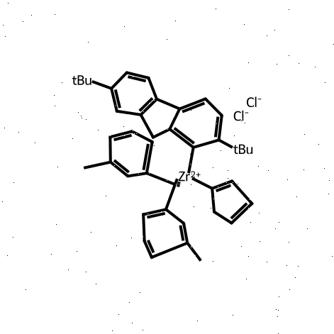 Cc1cccc([C](c2cccc(C)c2)=[Zr+2]([C]2=CC=CC2)[c]2c(C(C)(C)C)ccc3c2Cc2cc(C(C)(C)C)ccc2-3)c1.[Cl-].[Cl-]